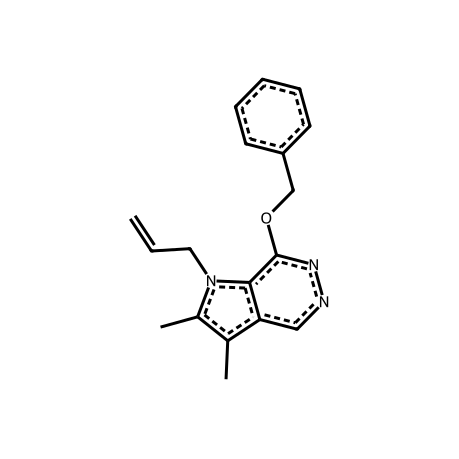 C=CCn1c(C)c(C)c2cnnc(OCc3ccccc3)c21